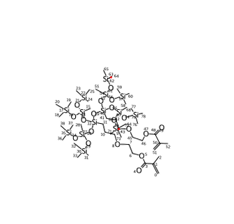 C=C(C)C(=O)OCCOCCC[Si](O[Si](C)(O[Si](C)(C)C)O[Si](C)(C)C)(O[Si](C)(O[Si](C)(C)C)O[Si](C)(C)C)O[Si](CCCOCCOC(=O)C(=C)C)(O[Si](C)(O[Si](C)(C)C)O[Si](C)(C)C)O[Si](C)(O[Si](C)(C)C)O[Si](C)(C)C